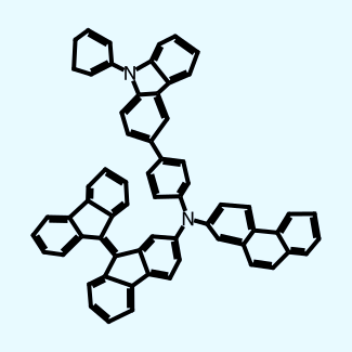 C1=CC(n2c3ccccc3c3cc(-c4ccc(N(c5ccc6c(c5)C(=C5c7ccccc7-c7ccccc75)c5ccccc5-6)c5ccc6c(ccc7ccccc76)c5)cc4)ccc32)=CCC1